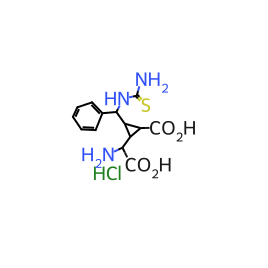 Cl.NC(=S)NC(c1ccccc1)C1C(C(=O)O)C1C(N)C(=O)O